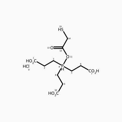 Cl.O=C(O)CC[PH](CCC(=O)O)(CCC(=O)O)OC(=O)CS